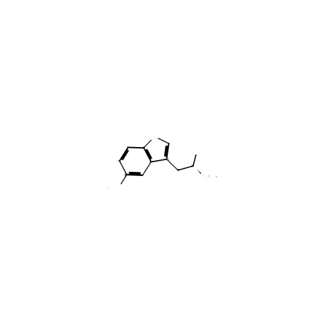 CN[C@@H](Cc1c[nH]c2ccc(OC)cc12)C(C)=O